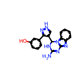 NC1=Nc2nc3ccccc3n2C(c2c[nH]nc2-c2cccc(O)c2)N1